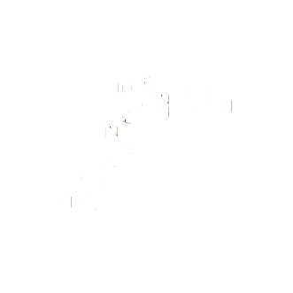 O=C(COc1ccc(Cl)c(F)c1)NC12CCC(C(=O)NCc3ccc(Cl)cc3)(CC1)C(O)C2